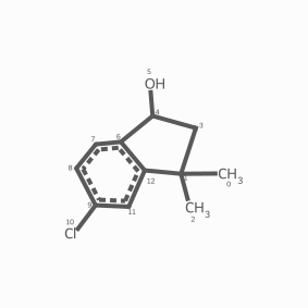 CC1(C)CC(O)c2ccc(Cl)cc21